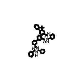 CC1(C)c2ccccc2-c2ccc(-c3nc4ccccc4c4nnc(-c5cccc(-c6cccc(C7=NC(c8ccccc8)NC(c8ccccc8)=N7)c6)c5)n34)cc21